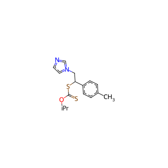 Cc1ccc(C(Cn2ccnc2)SC(=S)OC(C)C)cc1